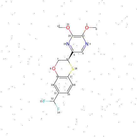 COc1ncc([C@@H]2COc3cc(C(F)F)ccc3S2)nc1OC